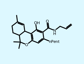 C=CCNC(=O)c1c(CCCCC)cc2c(c1O)C1C=C(C)CCC1C(C)(C)O2